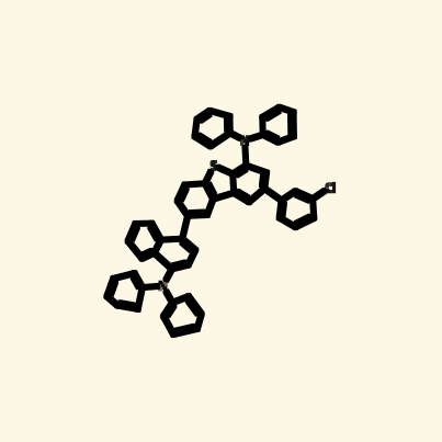 Clc1cccc(-c2cc(N(c3ccccc3)c3ccccc3)c3sc4ccc(-c5ccc(N(c6ccccc6)c6ccccc6)c6ccccc56)cc4c3c2)c1